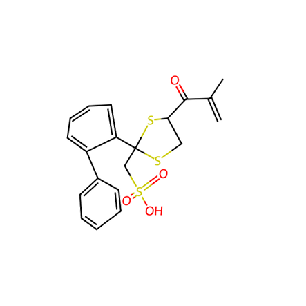 C=C(C)C(=O)C1CSC(CS(=O)(=O)O)(c2ccccc2-c2ccccc2)S1